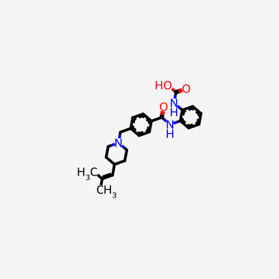 CC(C)=CC1CCN(Cc2ccc(C(=O)Nc3ccccc3NC(=O)O)cc2)CC1